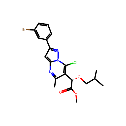 COC(=O)[C@@H](OCC(C)C)c1c(C)nc2cc(-c3cccc(Br)c3)nn2c1Cl